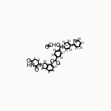 O=C1CCC(N2Cc3cccc(OC(=O)c4ccc(C[n+]5ccc(-c6ccccn6)cc5)cc4)c3C2)C(=O)N1.O=C[O-]